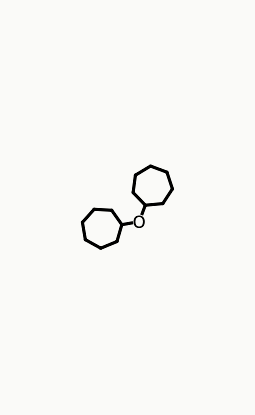 C1CCCC(OC2CCCCCC2)CC1